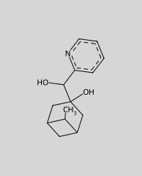 CC1C2CC1CC(O)(C(O)c1ccccn1)C2